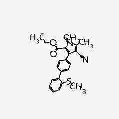 CCOC(=O)c1c(-c2ccc(-c3ccccc3SC)cc2)c(C#N)c(C)n1C